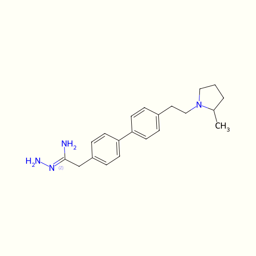 CC1CCCN1CCc1ccc(-c2ccc(C/C(N)=N/N)cc2)cc1